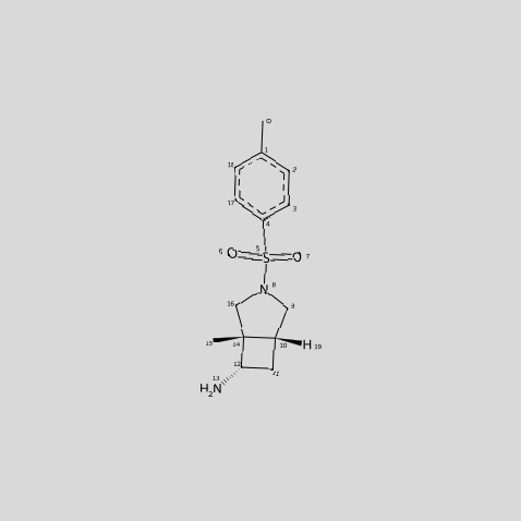 Cc1ccc(S(=O)(=O)N2C[C@@H]3C[C@H](N)[C@]3(C)C2)cc1